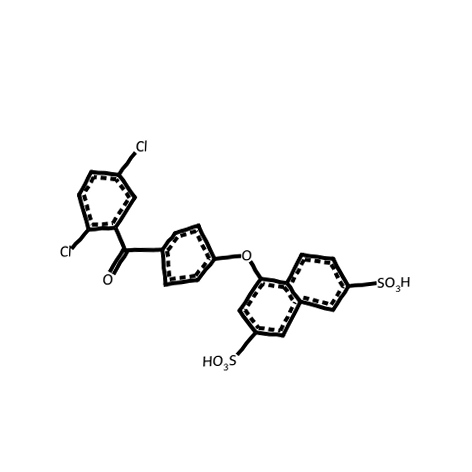 O=C(c1ccc(Oc2cc(S(=O)(=O)O)cc3cc(S(=O)(=O)O)ccc23)cc1)c1cc(Cl)ccc1Cl